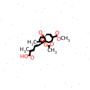 COC(=O)C1=CC[C@@]23CCC(C(C)(/C=C/C=C(\C)C(=O)O)OC2=O)[C@@]3(OC(C)=O)CC1